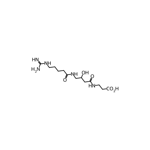 N=C(N)NCCCCC(=O)NCC(O)CC(=O)NCCC(=O)O